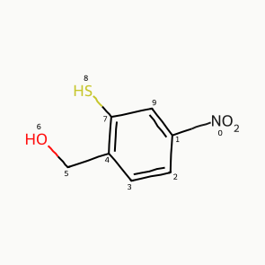 O=[N+]([O-])c1ccc(CO)c(S)c1